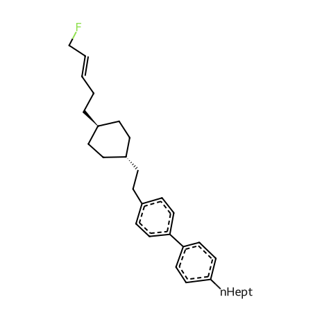 CCCCCCCc1ccc(-c2ccc(CC[C@H]3CC[C@H](CC/C=C/CF)CC3)cc2)cc1